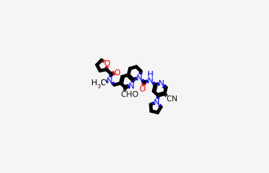 CN(Cc1cc2c(nc1C=O)N(C(=O)Nc1cc(N3CCCC3)c(C#N)cn1)CCC2)C(=O)C1CCCO1